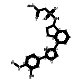 COC(=O)CS(=O)(=O)NC1CCc2c(-c3cnc(-c4ccc(OC(C)C)c(C#N)c4)[nH]3)cccc21